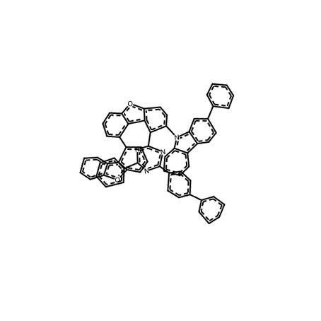 c1ccc(-c2ccc(-c3nc(-c4ccccc4)nc(-c4c(-n5c6ccccc6c6ccc(-c7ccccc7)cc65)ccc5oc6cccc(-c7cccc8oc9ccccc9c78)c6c45)n3)cc2)cc1